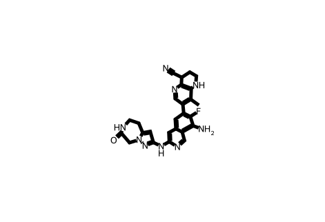 Cc1c(-c2cc3cc(Nc4cc5n(n4)CC(=O)NCC5)ncc3c(N)c2F)cnc2c1NCCC2C#N